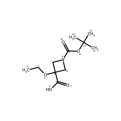 CCOC1(C(=O)O)CN(C(=O)OC(C)(C)C)C1